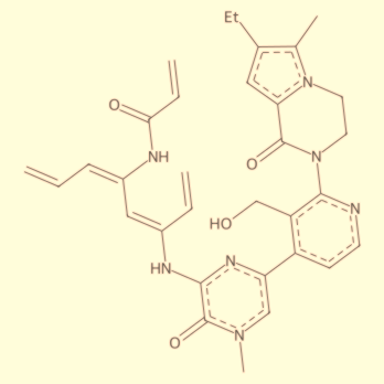 C=C/C=C(\C=C(/C=C)Nc1nc(-c2ccnc(N3CCn4c(cc(CC)c4C)C3=O)c2CO)cn(C)c1=O)NC(=O)C=C